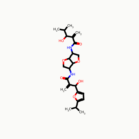 C=C(C(=O)NC1COC2C(NC(=O)C(=C)C(O)C(C)C)COC12)C(O)c1ccc(C(C)C)o1